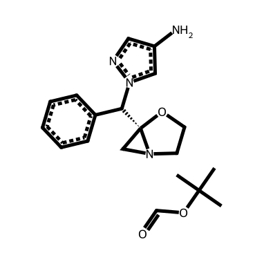 CC(C)(C)OC=O.Nc1cnn(C(c2ccccc2)[C@@]23CN2CCO3)c1